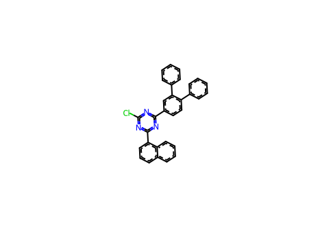 Clc1nc(-c2ccc(-c3ccccc3)c(-c3ccccc3)c2)nc(-c2cccc3ccccc23)n1